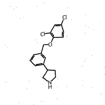 Clc1ccc(OCc2cccc(C3CCNC3)c2)c(Cl)c1